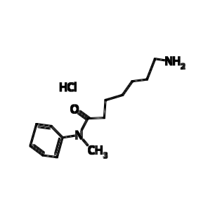 CN(C(=O)CCCCCCN)c1ccccc1.Cl